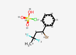 CC(F)(F)CC(Br)c1ccccc1.O=S(=O)(O)Cl